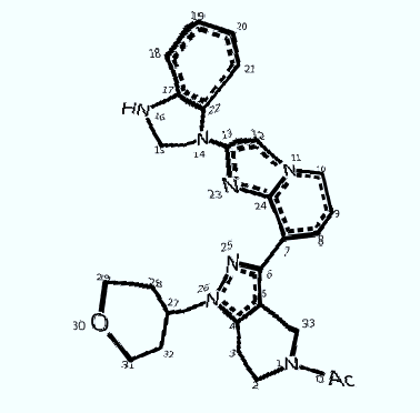 CC(=O)N1CCc2c(c(-c3cccn4cc(N5CNc6ccccc65)nc34)nn2C2CCOCC2)C1